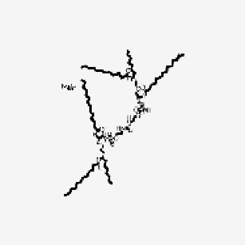 CCCCCCCCCCCCCC([O-])=N[C@H](COCC[C@@H](CCCCCCC)OC(=O)CCCCCCCCCCC)COP(=O)(O)OCCNC(=O)NCCOP(=O)(O)OC[C@H](COCC[C@@H](CCCCCCC)OC(=O)CCCCCCCCCCC)N=C([O-])CCCCCCCCCCCCC.[Na+].[Na+]